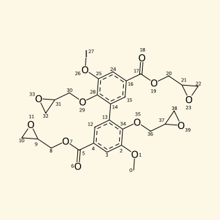 COc1cc(C(=O)OCC2CO2)cc(-c2cc(C(=O)OCC3CO3)cc(OI)c2OCC2CO2)c1OCC1CO1